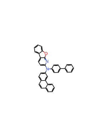 c1ccc(-c2ccc(N(c3ccc4ccc5ccccc5c4c3)c3ccc4c(n3)oc3ccccc34)cc2)cc1